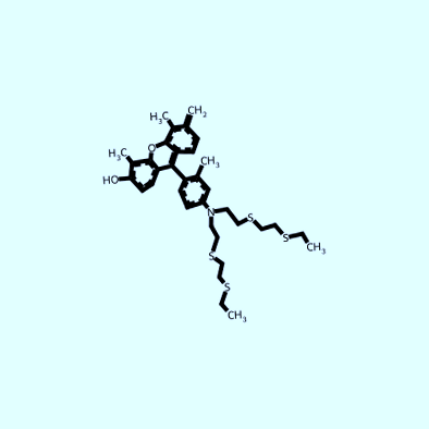 C=c1ccc2c(c1C)Oc1c(ccc(O)c1C)C=2c1ccc(N(CCSCCSCC)CCSCCSCC)cc1C